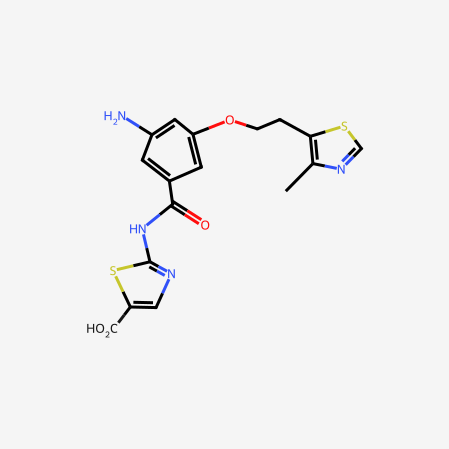 Cc1ncsc1CCOc1cc(N)cc(C(=O)Nc2ncc(C(=O)O)s2)c1